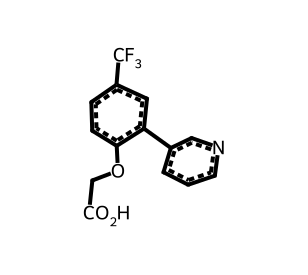 O=C(O)COc1ccc(C(F)(F)F)cc1-c1cccnc1